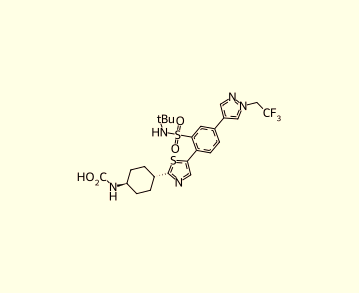 CC(C)(C)NS(=O)(=O)c1cc(-c2cnn(CC(F)(F)F)c2)ccc1-c1cnc([C@H]2CC[C@H](NC(=O)O)CC2)s1